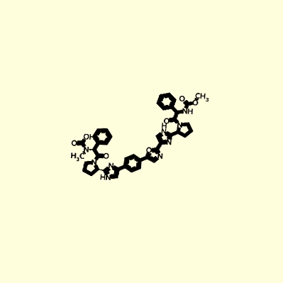 COC(=O)NC(C(=O)N1CCCC1c1nc(-c2ncc(-c3ccc(-c4c[nH]c([C@@H]5CCCN5C(=O)[C@@H](c5ccccc5)N(C)C(=O)O)n4)cc3)o2)c[nH]1)c1ccccc1